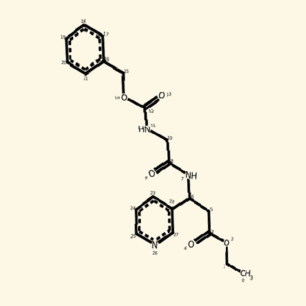 CCOC(=O)CC(NC(=O)CNC(=O)OCc1ccccc1)c1cccnc1